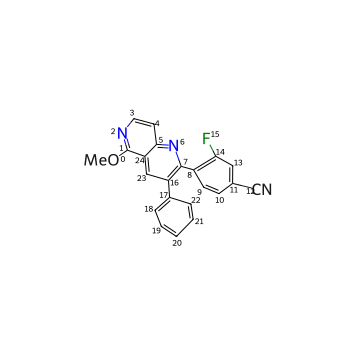 COc1nccc2nc(-c3ccc(C#N)cc3F)c(-c3ccccc3)cc12